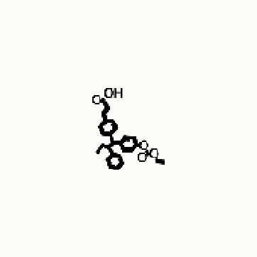 CCOC(=O)Oc1ccc(C(=C(CC)c2ccccc2)c2ccc(C=CC(=O)O)cc2)cc1